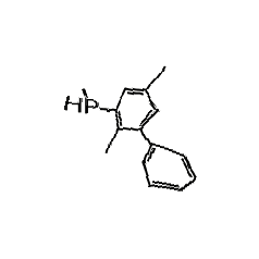 CPc1cc(C)cc(-c2ccccc2)c1C